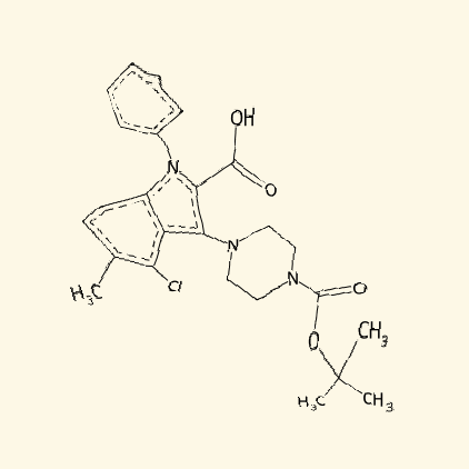 Cc1ccc2c(c1Cl)c(N1CCN(C(=O)OC(C)(C)C)CC1)c(C(=O)O)n2-c1ccccc1